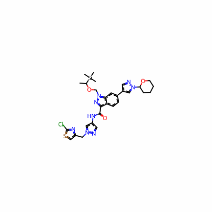 CC(OCn1nc(C(=O)Nc2cnn(Cc3csc(Cl)n3)c2)c2ccc(-c3cnn(C4CCCCO4)c3)cc21)[Si](C)(C)C